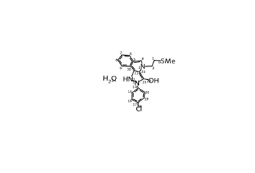 CSCCN1C=c2ccccc2=C2NN(c3ccc(Cl)cc3)C(O)=C21.O